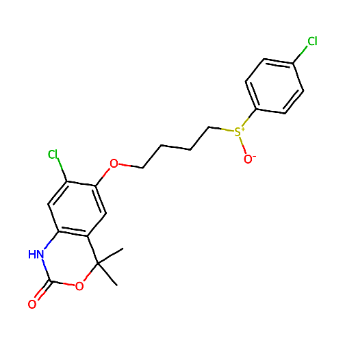 CC1(C)OC(=O)Nc2cc(Cl)c(OCCCC[S+]([O-])c3ccc(Cl)cc3)cc21